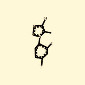 [2H]c1nnn(-c2ccc(F)cc2F)c1C